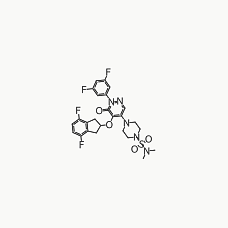 CN(C)S(=O)(=O)N1CCN(c2cnn(-c3cc(F)cc(F)c3)c(=O)c2OC2Cc3c(F)ccc(F)c3C2)CC1